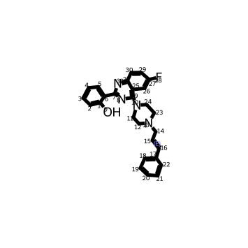 Oc1ccccc1-c1nc(N2CCN(C/C=C/c3ccccc3)CC2)c2cc(F)ccc2n1